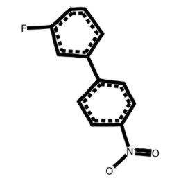 O=[N+]([O-])c1ccc(-c2cc[c]c(F)c2)cc1